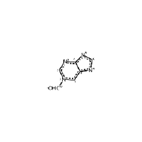 O=[C]n1cnc2ncnc-2c1